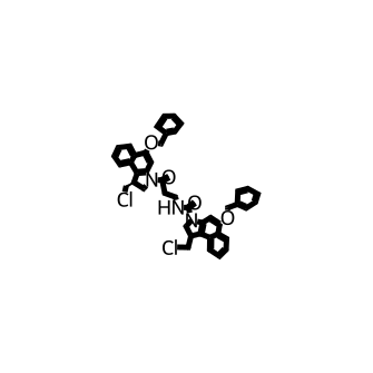 O=C(NCCC(=O)N1C[C@@H](CCl)c2c1cc(OCc1ccccc1)c1ccccc21)N1CC(CCl)c2c1cc(OCc1ccccc1)c1ccccc21